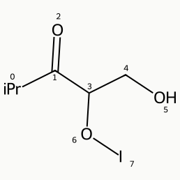 CC(C)C(=O)C(CO)OI